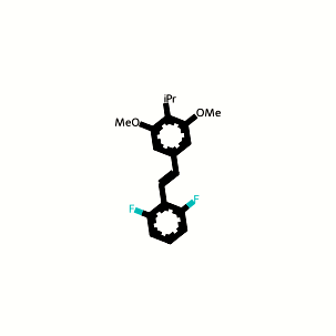 COc1cc(/C=C/c2c(F)cccc2F)cc(OC)c1C(C)C